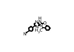 CC(c1ccccc1)n1c(=O)[nH]c2ncc(-c3ccc(C#N)cc3)nc21